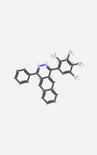 FC(F)(F)c1cc(-c2nnc(-c3ccccc3)c3cc4ccccc4cc23)c(C(F)(F)F)c(C(F)(F)F)c1C(F)(F)F